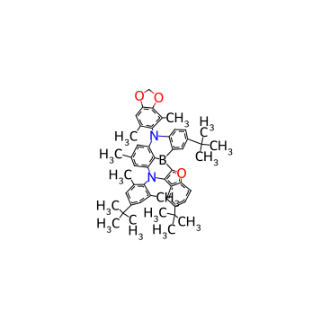 Cc1cc2c3c(c1)N(c1c(C)cc(C(C)(C)C)cc1C)c1c(oc4ccc(C(C)(C)C)cc14)B3c1cc(C(C)(C)C)ccc1N2c1c(C)cc2c(c1C)OCO2